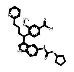 COc1cc(C(=O)O)ccc1C(CCCc1ccccn1)c1c[nH]c2ccc(NC(=O)OC3CCCC3)cc12